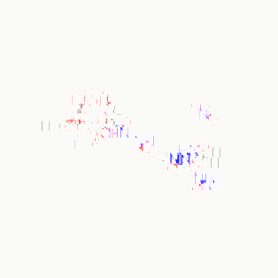 COc1ccc([C@@]23Oc4cc(O[C@@H]5O[C@@H]([C@H](O)CO)CO[C@H]5OC)cc(OC)c4[C@]2(O)C[C@H](C(=O)NCCNC(=O)OCc2ccc(NC(=O)[C@H](CCCNC(N)=O)NC(=O)[C@@H](NC(=O)CCCCCN4C(=O)C=CC4=O)C(C)C)cc2)[C@H]3c2ccccc2)cc1